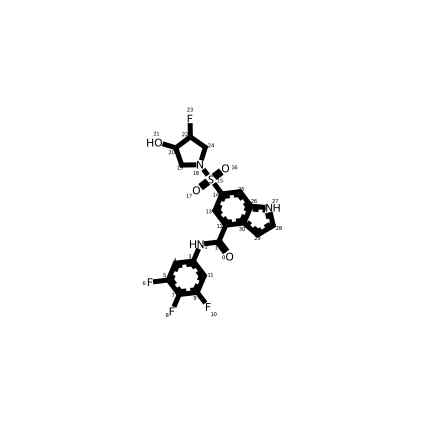 O=C(Nc1cc(F)c(F)c(F)c1)c1cc(S(=O)(=O)N2CC(O)C(F)C2)cc2[nH]ccc12